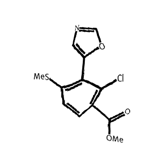 COC(=O)c1ccc(SC)c(-c2cnco2)c1Cl